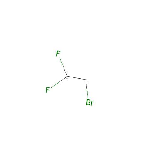 F[C](F)CBr